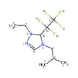 CCN1N=CN(CC(C)C)C1C(F)(F)C(F)(F)F